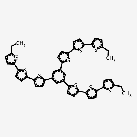 CCc1ccc(-c2ccc(-c3ccc(-c4cc(-c5ccc(-c6ccc(-c7ccc(CC)s7)s6)s5)cc(-c5ccc(-c6ccc(-c7ccc(CC)s7)s6)s5)c4)s3)s2)s1